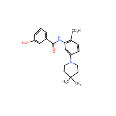 CC1(C)CCN(c2ccc(C(=O)O)c(NC(=O)c3cccc(O)c3)c2)CC1